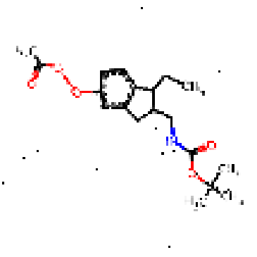 CCC1c2ccc(OOC(C)=O)cc2CC1CNC(=O)OC(C)(C)C